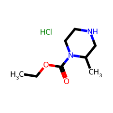 CCOC(=O)N1CCNCC1C.Cl